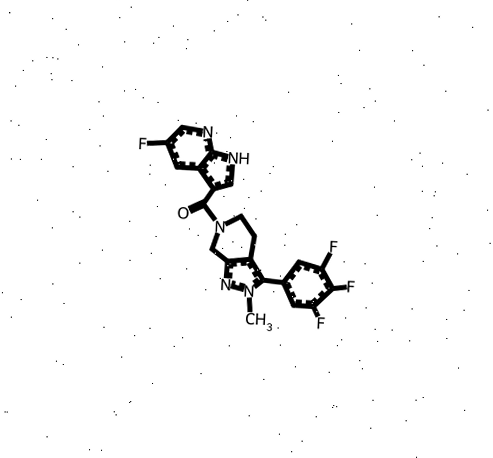 Cn1nc2c(c1-c1cc(F)c(F)c(F)c1)CCN(C(=O)c1c[nH]c3ncc(F)cc13)C2